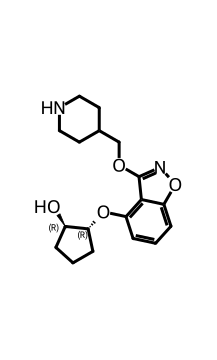 O[C@@H]1CCC[C@H]1Oc1cccc2onc(OCC3CCNCC3)c12